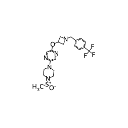 C[S+]([O-])N1CCN(c2cnc(OC3CN(Cc4ccc(C(F)(F)F)cc4)C3)cn2)CC1